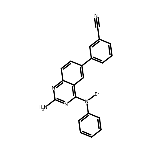 N#Cc1cccc(-c2ccc3nc(N)nc(N(Br)c4ccccc4)c3c2)c1